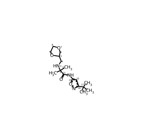 CC(C)(NCC1COCCO1)C(=O)Nc1cc(C(C)(C)C)no1